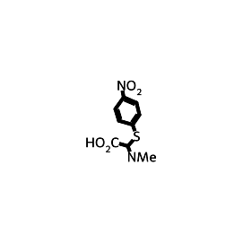 CNC(Sc1ccc([N+](=O)[O-])cc1)C(=O)O